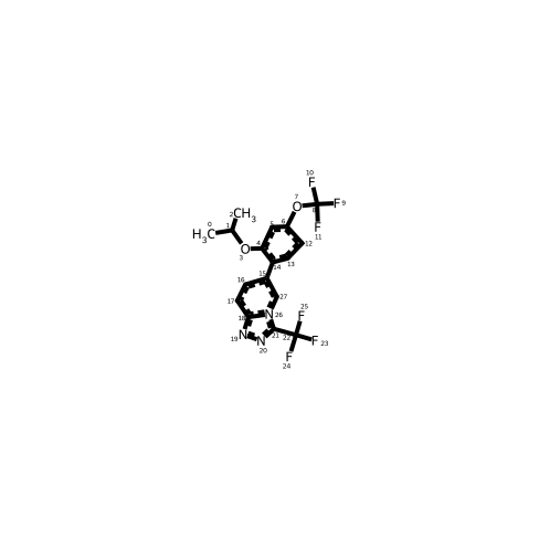 CC(C)Oc1cc(OC(F)(F)F)ccc1-c1ccc2nnc(C(F)(F)F)n2c1